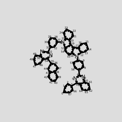 c1ccc(-c2nc(-c3ccc(-n4c5ccccc5c5c6c7ccccc7n(-c7cccc(-c8nc(-c9ccc%10ccccc%10c9)c9ccccc9n8)c7)c6ccc54)cc3)nc3ccccc23)cc1